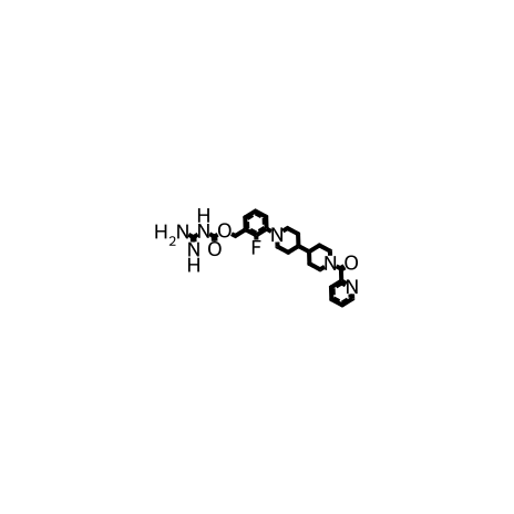 N=C(N)NC(=O)OCc1cccc(N2CCC(C3CCN(C(=O)c4ccccn4)CC3)CC2)c1F